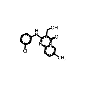 Cc1ccc2nc(Nc3cccc(Cl)c3)c(CO)c(=O)n2c1